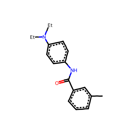 CCN(CC)c1ccc(NC(=O)c2cccc(C)c2)cc1